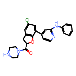 O=C([C@H]1Cc2cc(Cl)cc(-c3ccnc(Nc4ccccc4)c3)c2O1)N1CCNCC1